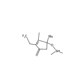 C=C1CC(O[SiH](C)C)(C(C)(C)C)C(C)=C1CC(F)(F)F